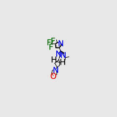 Cc1ncc(-c2cn(C(C)C)c([C@H]3[C@@H]4CC(N5CCOCC5)C[C@@H]43)n2)cc1C(F)(F)F